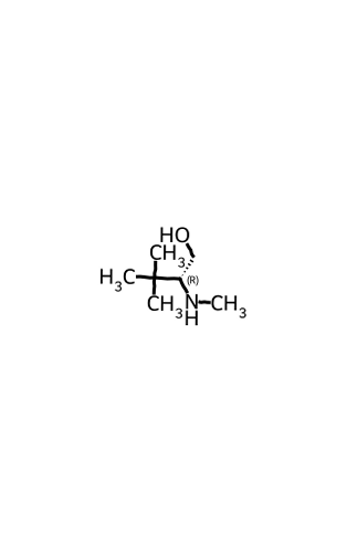 CN[C@@H](CO)C(C)(C)C